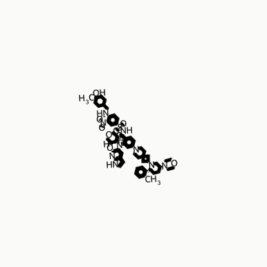 Cc1ccccc1[C@H]1CC[C@@H](N2CCOCC2)CN1C1CC2(CCN(c3ccc(C(=O)NS(=O)(=O)c4ccc(NCC5CCC(C)(O)CC5)c([N+](=O)[O-])c4)c(N4c5cc6cc[nH]c6nc5O[C@H]5COCC[C@@H]54)c3)CC2)C1